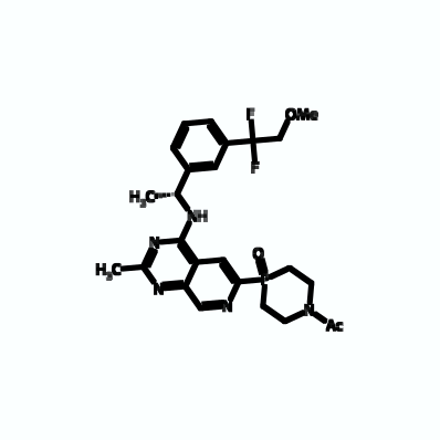 COCC(F)(F)c1cccc([C@@H](C)Nc2nc(C)nc3cnc(P4(=O)CCN(C(C)=O)CC4)cc23)c1